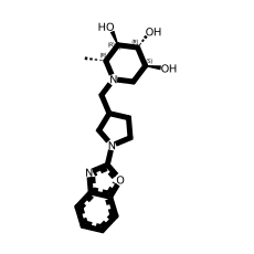 C[C@@H]1[C@@H](O)[C@H](O)[C@@H](O)CN1CC1CCN(c2nc3ccccc3o2)C1